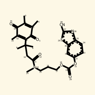 CC1=C(C)C(=O)C(C(C)(C)CC(=O)N(C)CCCOC(=O)Oc2ccc3nc(C#N)sc3c2)=C(C)C1=O